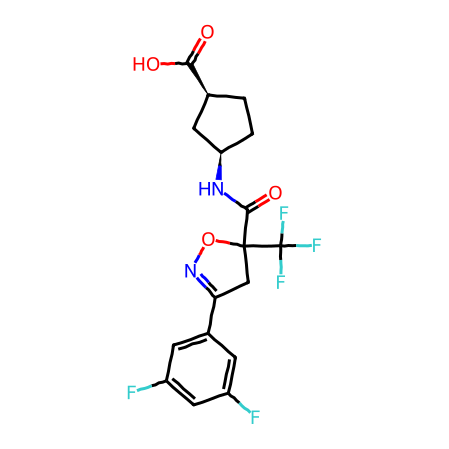 O=C(O)[C@H]1CC[C@@H](NC(=O)C2(C(F)(F)F)CC(c3cc(F)cc(F)c3)=NO2)C1